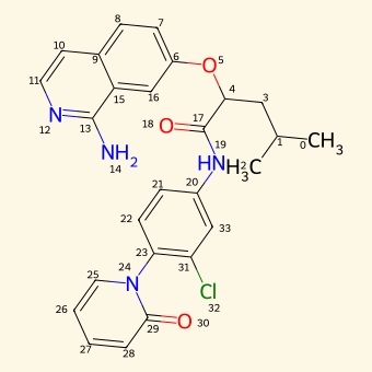 CC(C)CC(Oc1ccc2ccnc(N)c2c1)C(=O)Nc1ccc(-n2ccccc2=O)c(Cl)c1